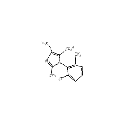 Cc1cccc(Cl)c1-n1c(C)nc(C)c1C(=O)O